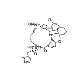 CO[C@H]1/C=C/CCCS(=O)(NC(=O)Cc2ccnn2C)=NC(=O)c2ccc3c(c2)N(C[C@@H]2CC[C@H]21)C[C@@]1(CCCc2cc(Cl)ccc21)CO3